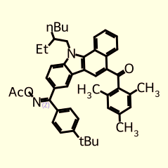 CCCCC(CC)Cn1c2ccc(/C(=N\OC(C)=O)c3ccc(C(C)(C)C)cc3)cc2c2cc(C(=O)c3c(C)cc(C)cc3C)c3ccccc3c21